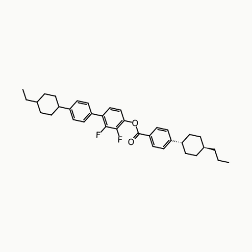 CCC[C@H]1CC[C@H](c2ccc(C(=O)Oc3ccc(-c4ccc(C5CCC(CC)CC5)cc4)c(F)c3F)cc2)CC1